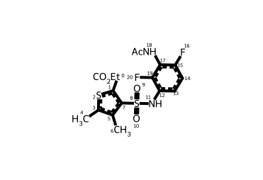 CCOC(=O)c1sc(C)c(C)c1S(=O)(=O)Nc1ccc(F)c(NC(C)=O)c1F